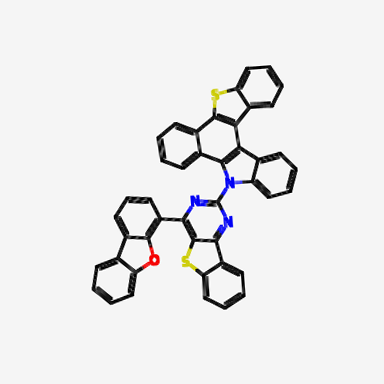 c1ccc2c(c1)oc1c(-c3nc(-n4c5ccccc5c5c6c7ccccc7sc6c6ccccc6c54)nc4c3sc3ccccc34)cccc12